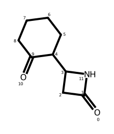 O=C1CC(C2CCCCC2=O)N1